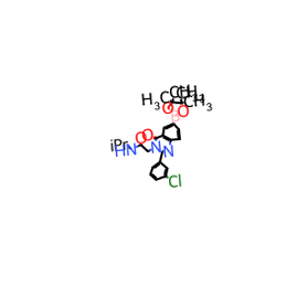 CC(C)NC(=O)Cn1c(-c2cccc(Cl)c2)nc2ccc(B3OC(C)(C)C(C)(C)O3)cc2c1=O